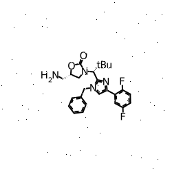 CC(C)(C)[C@H](c1nc(-c2cc(F)ccc2F)cn1Cc1ccccc1)N1C[C@H](CN)OC1=O